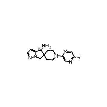 N[C@@H]1c2ccnn2CC12CCN(c1cnc(I)cn1)CC2